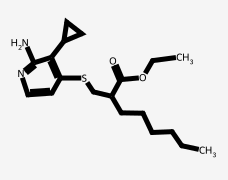 CCCCCCC(CSc1ccnc(N)c1C1CC1)C(=O)OCC